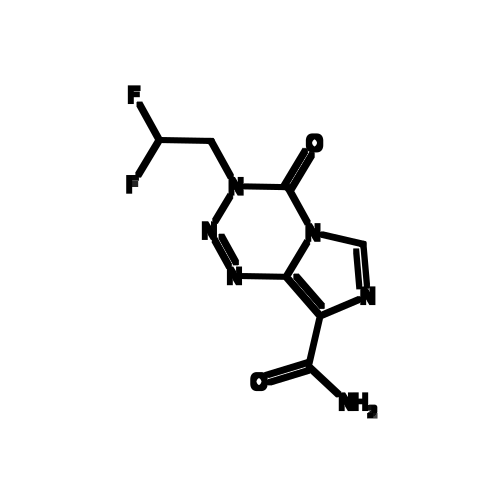 NC(=O)c1ncn2c(=O)n(CC(F)F)nnc12